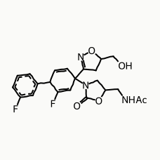 CC(=O)NCC1CN(C2(C3=NOC(CO)C3)C=CC(c3cccc(F)c3)C(F)=C2)C(=O)O1